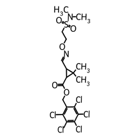 CN(C)S(=O)(=O)CCO/N=C/C1C(C(=O)OCc2c(Cl)c(Cl)c(Cl)c(Cl)c2Cl)C1(C)C